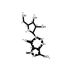 Cn1nc([N+](=O)[O-])c2nnn(C3OC(CO)C(O)C3O)c(=O)c21